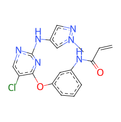 C=CC(=O)Nc1cccc(Oc2nc(Nc3cnn(C)c3)ncc2Cl)c1